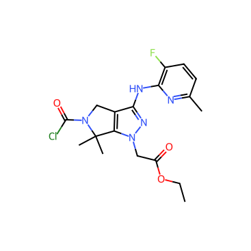 CCOC(=O)Cn1nc(Nc2nc(C)ccc2F)c2c1C(C)(C)N(C(=O)Cl)C2